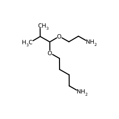 CC(C)C(OCCN)OCCCCN